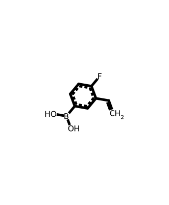 C=Cc1cc(B(O)O)ccc1F